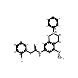 NSc1cc(NC(=O)Cc2ccccc2Cl)cc2c1CCN(c1ccccc1)C2